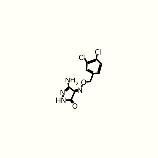 NC1=NNC(=O)C1=NOCc1ccc(Cl)c(Cl)c1